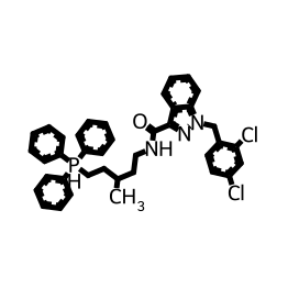 CC(CCNC(=O)c1nn(Cc2ccc(Cl)cc2Cl)c2ccccc12)CC[PH](c1ccccc1)(c1ccccc1)c1ccccc1